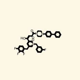 O=C(/C=C(/O)c1cc(Cc2ccc(F)c(F)c2F)cn(Cc2cccc(F)c2)c1=O)C(=O)N1CCN(c2ccc(-c3ccccc3)cc2)CC1